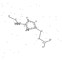 CCNc1nc(CCC(C)C)cs1